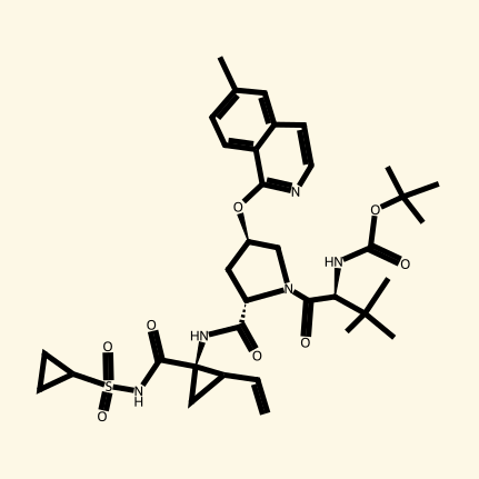 C=CC1C[C@]1(NC(=O)[C@@H]1C[C@@H](Oc2nccc3cc(C)ccc23)CN1C(=O)[C@@H](NC(=O)OC(C)(C)C)C(C)(C)C)C(=O)NS(=O)(=O)C1CC1